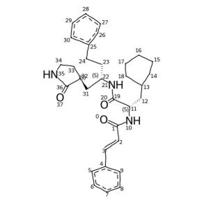 O=C(C=Cc1ccccc1)N[C@@H](CC1CCCCC1)C(=O)N[C@@H](CCc1ccccc1)C[C@@H]1CCNC1=O